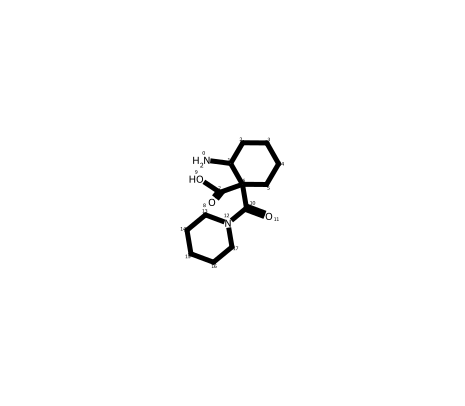 NC1CCCCC1(C(=O)O)C(=O)N1CCCCC1